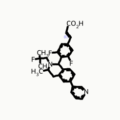 CC1Cc2cc(-c3cccnc3)ccc2C(c2c(F)cc(/C=C/C(=O)O)cc2F)N1CC(C)(C)F